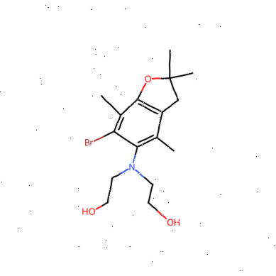 Cc1c(Br)c(N(CCO)CCO)c(C)c2c1OC(C)(C)C2